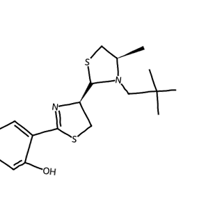 C[C@@H]1CSC([C@H]2CSC(c3ccccc3O)=N2)N1CC(C)(C)C